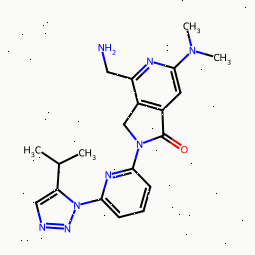 CC(C)c1cnnn1-c1cccc(N2Cc3c(cc(N(C)C)nc3CN)C2=O)n1